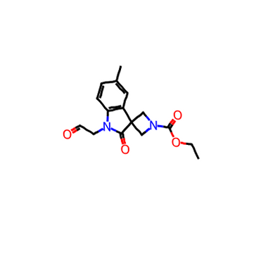 CCOC(=O)N1CC2(C1)C(=O)N(CC=O)c1ccc(C)cc12